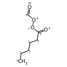 CCCCCC(=O)OOC=O